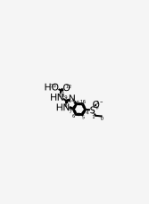 CC[S+]([O-])c1ccc2[nH]c(NC(=O)O)nc2c1